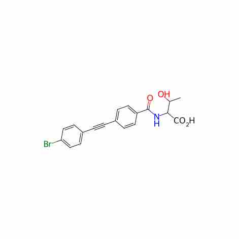 CC(O)C(NC(=O)c1ccc(C#Cc2ccc(Br)cc2)cc1)C(=O)O